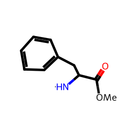 COC(=O)C([NH])Cc1ccccc1